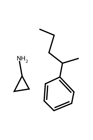 CCCC(C)c1ccccc1.NC1CC1